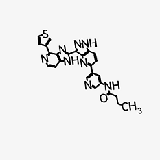 CCCC(=O)Nc1cncc(-c2ccc3[nH]nc(-c4nc5c(-c6ccsc6)nccc5[nH]4)c3n2)c1